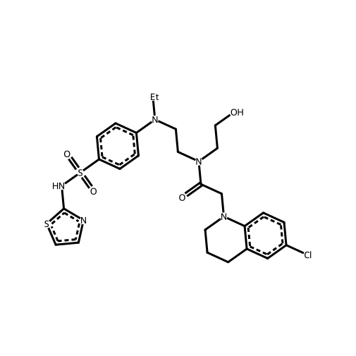 CCN(CCN(CCO)C(=O)CN1CCCc2cc(Cl)ccc21)c1ccc(S(=O)(=O)Nc2nccs2)cc1